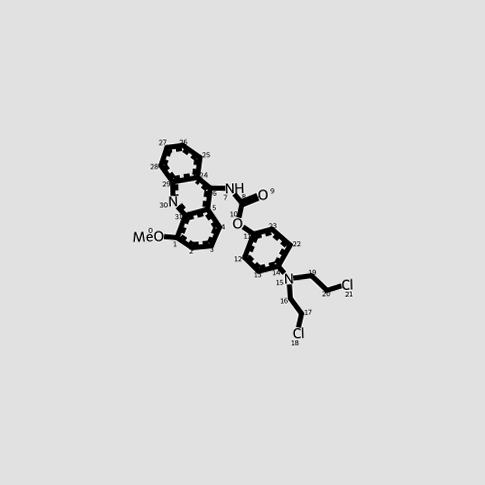 COc1cccc2c(NC(=O)Oc3ccc(N(CCCl)CCCl)cc3)c3ccccc3nc12